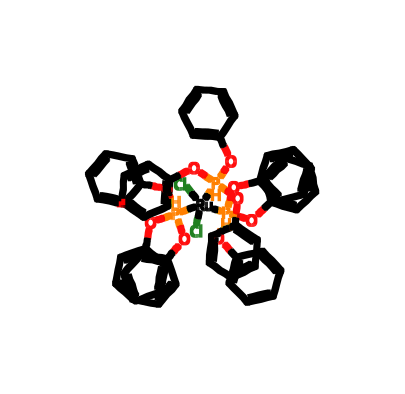 [Cl][Ru]([Cl])([PH](Oc1ccccc1)(Oc1ccccc1)Oc1ccccc1)([PH](Oc1ccccc1)(Oc1ccccc1)Oc1ccccc1)[PH](Oc1ccccc1)(Oc1ccccc1)Oc1ccccc1